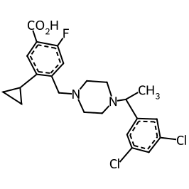 CC(c1cc(Cl)cc(Cl)c1)N1CCN(Cc2cc(F)c(C(=O)O)cc2C2CC2)CC1